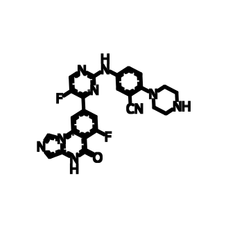 N#Cc1cc(Nc2ncc(F)c(-c3cc(F)c4c(=O)[nH]c5cncn5c4c3)n2)ccc1N1CCNCC1